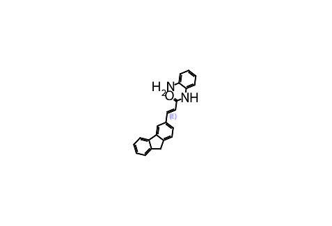 Nc1ccccc1NC(=O)/C=C/c1ccc2c(c1)-c1ccccc1C2